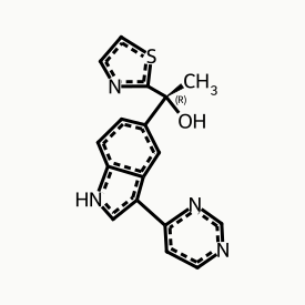 C[C@@](O)(c1ccc2[nH]cc(-c3ccncn3)c2c1)c1nccs1